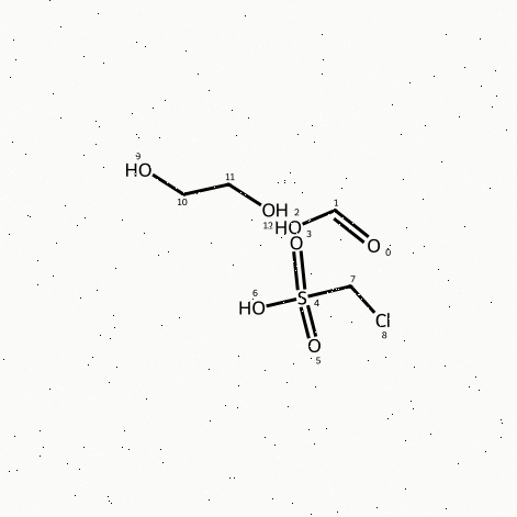 O=CO.O=S(=O)(O)CCl.OCCO